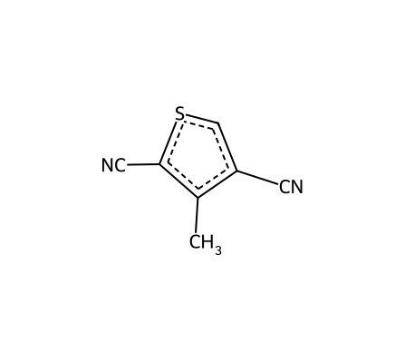 Cc1c(C#N)csc1C#N